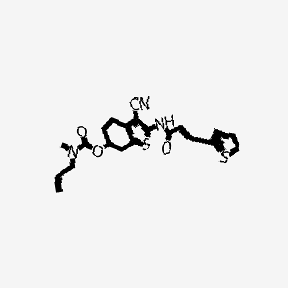 C=CCN(C)C(=O)OC1CCc2c(sc(NC(=O)C=Cc3cccs3)c2C#N)C1